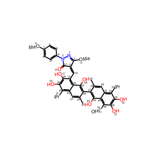 COC1=NN(c2ccc(OC)cc2)C(=O)/C1=C\c1c(O)c(O)c(C(C)C)c2cc(C)c(-c3c(C)cc4c(C(C)C)c(O)c(O)c(C=O)c4c3O)c(O)c12